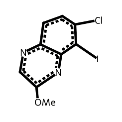 COc1cnc2ccc(Cl)c(I)c2n1